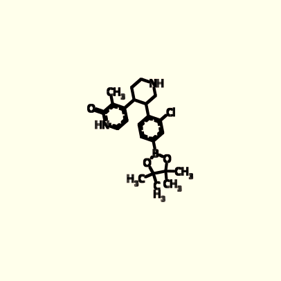 Cc1c(C2CCNCC2c2ccc(B3OC(C)(C)C(C)(C)O3)cc2Cl)cc[nH]c1=O